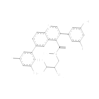 Cc1cc(F)cc(-c2cnc3ccc(-c4cc(F)cc(F)c4)cc3c2C(=O)N(C)CC(N)C(C)C)c1